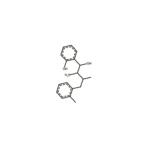 Cc1ccccc1CC(C)C(N)C(O)c1ccccc1O